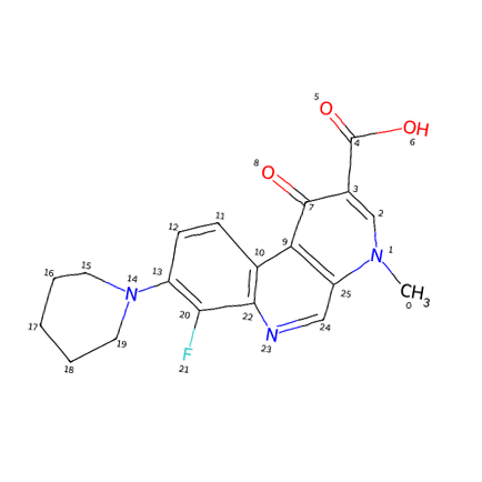 Cn1cc(C(=O)O)c(=O)c2c3ccc(N4CCCCC4)c(F)c3ncc21